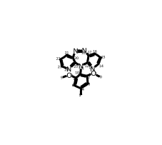 COc1cc(C)cc(OC)c1N1c2ncccc2N=Nc2cccnc21